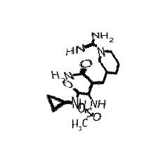 CS(=O)(=O)NC(C(=O)NC1CC1)C(CC1CCCN(C(=N)N)C1)C(N)=O